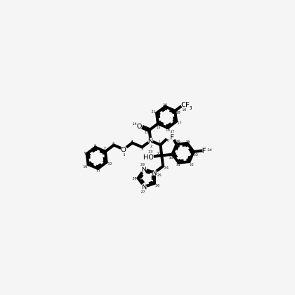 CC(N(CCOCc1ccccc1)C(=O)c1ccc(C(F)(F)F)cc1)C(O)(Cn1cncn1)c1ccc(F)cc1F